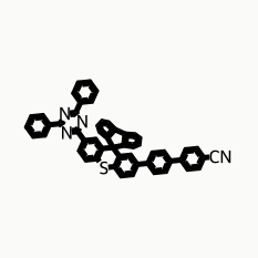 N#Cc1ccc(-c2ccc(-c3ccc4c(c3)C3(c5cc(-c6nc(-c7ccccc7)nc(-c7ccccc7)n6)ccc5S4)c4ccccc4-c4ccccc43)cc2)cc1